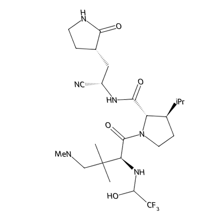 CNCC(C)(C)[C@H](NC(O)C(F)(F)F)C(=O)N1CC[C@H](C(C)C)[C@H]1C(=O)N[C@H](C#N)C[C@@H]1CCNC1=O